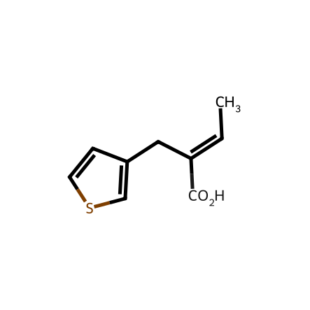 C/C=C(\Cc1ccsc1)C(=O)O